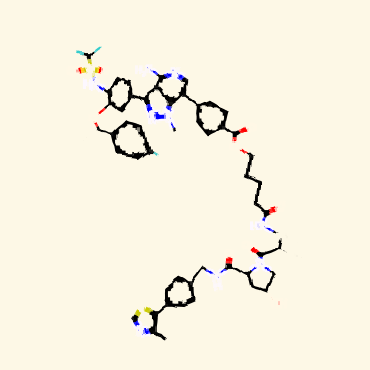 Cc1ncsc1-c1ccc(CNC(=O)C2C[C@@H](O)CN2C(=O)[C@@H]([SiH2]NC(=O)CCCCOC(=O)c2ccc(-c3cnc(N)c4c(-c5ccc(NS(=O)(=O)C(F)F)c(O[C@@H](C)c6ccc(F)cc6)c5)nn(C)c34)cc2)C(C)(C)C)cc1